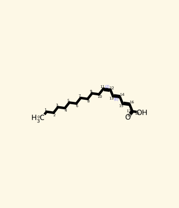 CCCCCCCCCCC/C=C\C=C\C=CC(=O)O